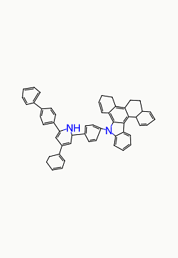 C1=CCCC(C2=CC(c3ccc(-n4c5ccccc5c5c6c(c7c(c54)C=CCC7)CCC4C=CC=CC64)cc3)NC(c3ccc(-c4ccccc4)cc3)=C2)=C1